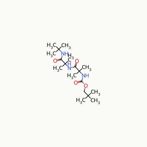 CC(C)(C)COC(=O)NC(C)(C)C(=O)NC(C)(C)C(=O)NC(C)(C)C